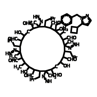 CC(C)CC1C(C=O)C(O)C(C)C(C=O)C(C)(N=N)C(CC(C)C)C(C=O)C(O)CC(C=O)C(C)(N=N)C(CC(C)C)C(C=O)C(O)(Cc2ccc(Cn3nccc3C3CCC3)cc2)C(C)C(C=O)C(C)(N=N)C(CC(C)C)C(C=O)C(O)CC(C=O)C1(C)N=N